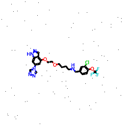 FC(F)(F)Oc1ccc(CNCCCCOCCOc2cc(-n3cnnc3)cc3[nH]ncc23)cc1Cl